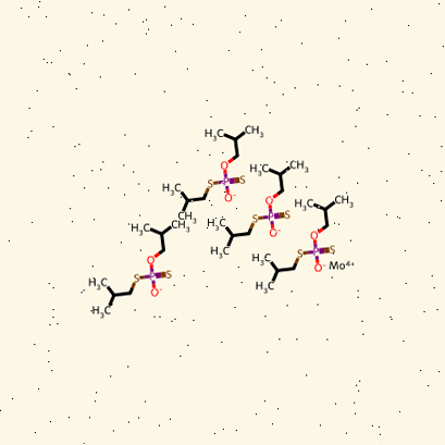 CC(C)COP([O-])(=S)SCC(C)C.CC(C)COP([O-])(=S)SCC(C)C.CC(C)COP([O-])(=S)SCC(C)C.CC(C)COP([O-])(=S)SCC(C)C.[Mo+4]